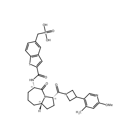 COc1cc(C)c(C2CN(C(=O)[C@@H]3CC[C@@H]4CCC[C@H](NC(=O)c5cc6cc(CP(=O)(O)O)ccc6s5)C(=O)N43)C2)cn1